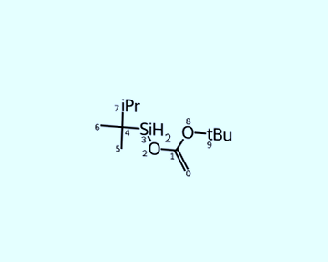 C=C(O[SiH2]C(C)(C)C(C)C)OC(C)(C)C